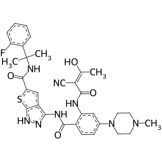 C/C(O)=C(/C#N)C(=O)Nc1cc(N2CCN(C)CC2)ccc1C(=O)Nc1n[nH]c2sc(C(=O)NC(C)(C)c3ccccc3F)cc12